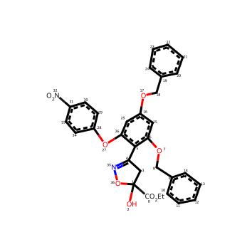 CCOC(=O)C1(O)CC(c2c(OCc3ccccc3)cc(OCc3ccccc3)cc2Oc2ccc([N+](=O)[O-])cc2)=NO1